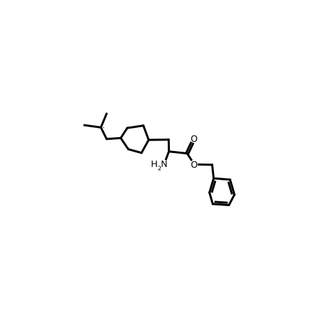 C[C](C)CC1CCC(CC(N)C(=O)OCc2ccccc2)CC1